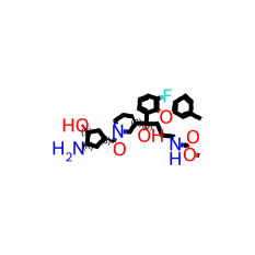 COC(=O)NCCC[C@@](O)(c1cccc(F)c1Oc1cccc(C)c1)[C@@H]1CCCN(C(=O)[C@H]2C[C@@H](N)[C@@H](O)C2)C1